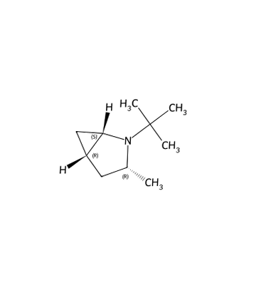 C[C@@H]1C[C@@H]2C[C@@H]2N1C(C)(C)C